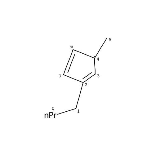 CCCCC1=C[C](C)C=C1